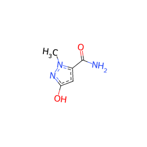 Cn1nc(O)cc1C(N)=O